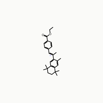 CCOC(=O)c1ccc(/C=C(\C)c2cc3c(cc2C)C(C)(C)CCC3(C)C)cc1